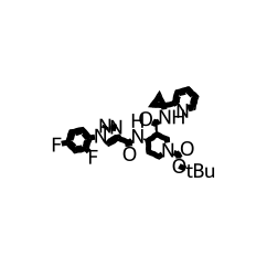 CC(C)(C)OC(=O)N1CC[C@H](NC(=O)c2cn(-c3ccc(F)cc3F)nn2)[C@@H](C(=O)NC2(c3ccccn3)CC2)C1